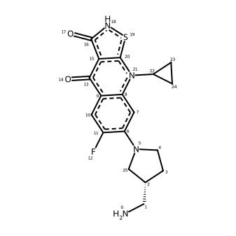 NC[C@H]1CCN(c2cc3c(cc2F)c(=O)c2c(=O)[nH]sc2n3C2CC2)C1